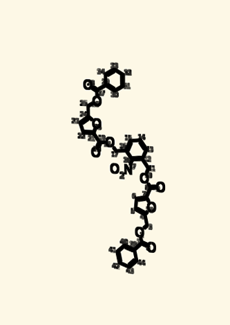 O=C(OCc1ccc(C(=O)OCc2cccc(COC(=O)c3ccc(COC(=O)c4ccccc4)o3)c2[N+](=O)[O-])o1)c1ccccc1